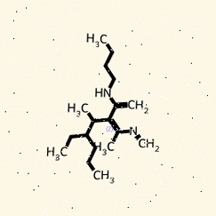 C=N/C(C)=C(\C(=C)NCCCC)C(C)C(CC)CCC